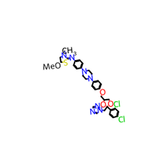 COC1CN(C)/C(=N/c2ccc(N3CCN(c4ccc(OCC5COC(Cn6cncn6)(c6ccc(Cl)cc6Cl)O5)cc4)CC3)cc2)S1